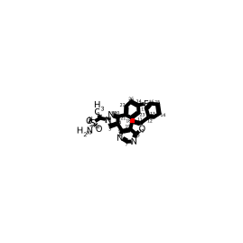 CC(n1cc(-c2ncnc3oc(-c4ccccc4)cc23)c(-c2ccc(F)cc2)n1)S(N)(=O)=O